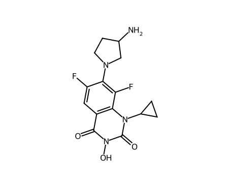 NC1CCN(c2c(F)cc3c(=O)n(O)c(=O)n(C4CC4)c3c2F)C1